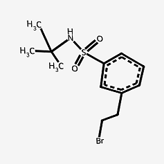 CC(C)(C)NS(=O)(=O)c1cccc(CCBr)c1